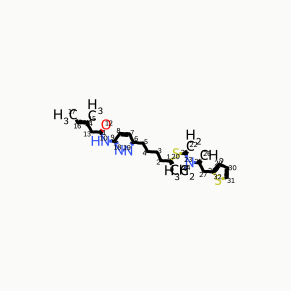 C=C(CCCCc1ccc(NC(=O)C/C(C)=C/C)nn1)SC(=C)N(C)C(=C)Cc1cccs1